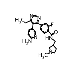 CCc1ncnc(-c2ccc(C(=O)NCC3CCN(C)C3)c(F)c2)c1-c1ccc(N)nc1